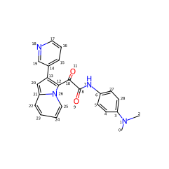 CN(C)c1ccc(NC(=O)C(=O)c2c(-c3cccnc3)cc3ccccn23)cc1